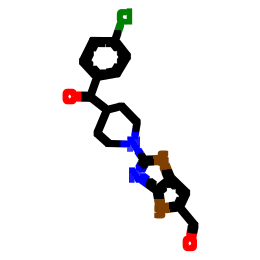 O=Cc1cc2sc(N3CCC(C(=O)c4ccc(Cl)cc4)CC3)nc2s1